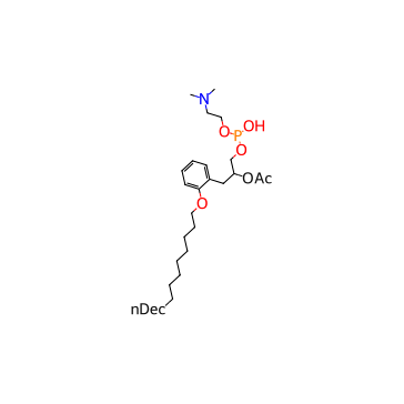 CCCCCCCCCCCCCCCCCCOc1ccccc1CC(COP(O)OCCN(C)C)OC(C)=O